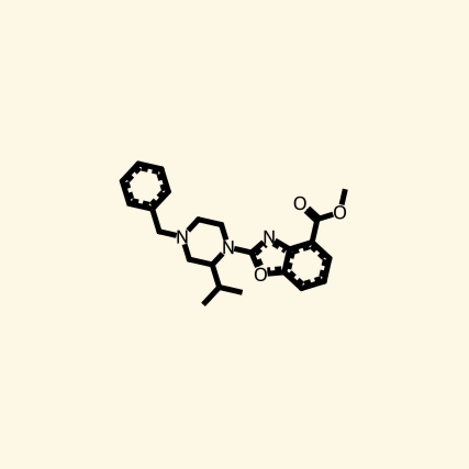 COC(=O)c1cccc2oc(N3CCN(Cc4ccccc4)CC3C(C)C)nc12